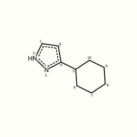 [c]1c[nH]nc1C1CCCCC1